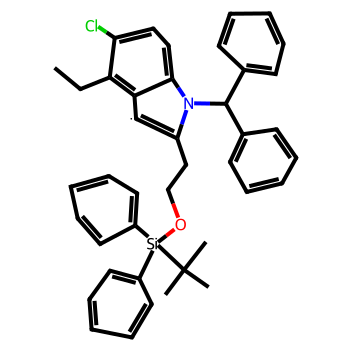 CCc1c(Cl)ccc2c1[c]c(CCO[Si](c1ccccc1)(c1ccccc1)C(C)(C)C)n2C(c1ccccc1)c1ccccc1